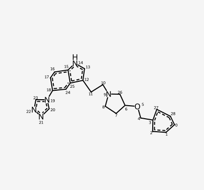 c1ccc(COC2CCN(CCc3c[nH]c4ccc(-n5cnnc5)cc34)C2)cc1